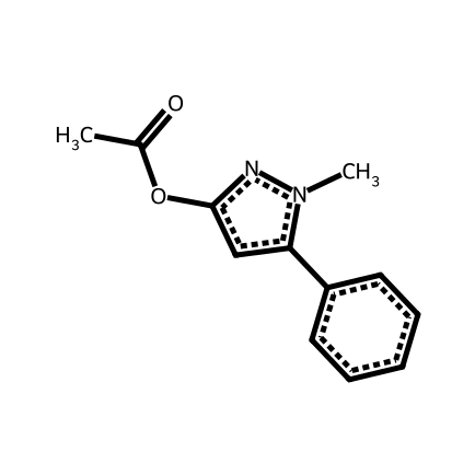 CC(=O)Oc1cc(-c2ccccc2)n(C)n1